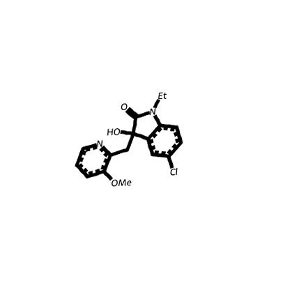 CCN1C(=O)C(O)(Cc2ncccc2OC)c2cc(Cl)ccc21